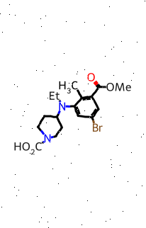 CCN(c1cc(Br)cc(C(=O)OC)c1C)C1CCN(C(=O)O)CC1